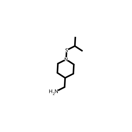 CC(C)SN1CCC(CN)CC1